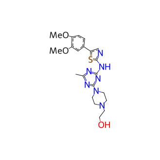 COc1ccc(-c2cnc(Nc3nc(C)nc(N4CCN(CCO)CC4)n3)s2)cc1OC